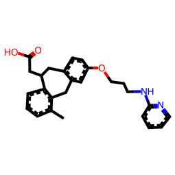 Cc1cccc2c1Cc1cc(OCCCNc3ccccn3)ccc1CC2CC(=O)O